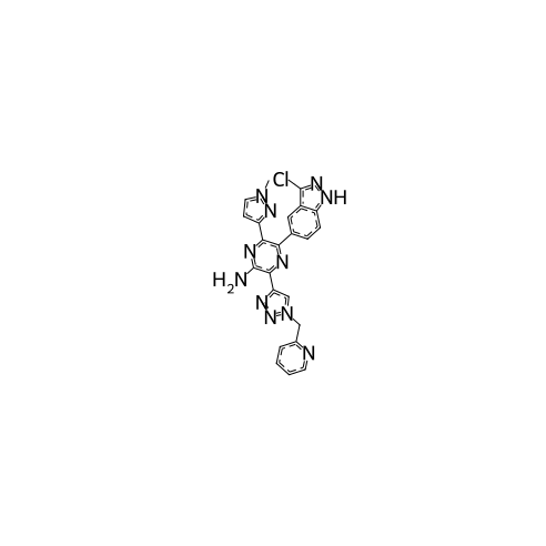 Cn1ccc(-c2nc(N)c(-c3cn(Cc4ccccn4)nn3)nc2-c2ccc3[nH]nc(Cl)c3c2)n1